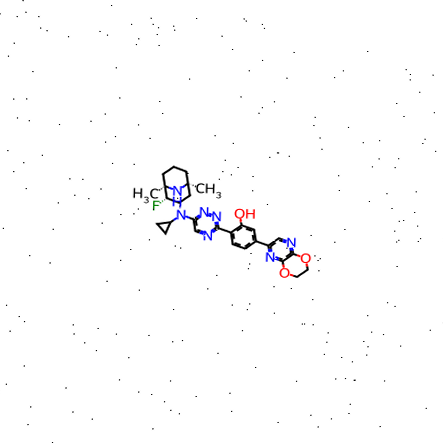 C[C@@]12CCC[C@@](C)(N1)[C@@H](F)[C@@H](N(c1cnc(-c3ccc(-c4cnc5c(n4)OCCO5)cc3O)nn1)C1CC1)C2